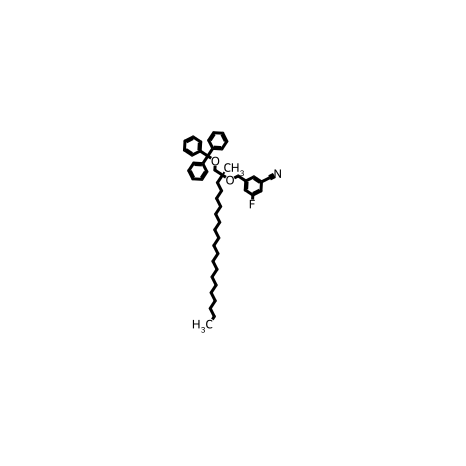 CCCCCCCCCCCCCCCCCCC[C@](C)(COC(c1ccccc1)(c1ccccc1)c1ccccc1)OCc1cc(F)cc(C#N)c1